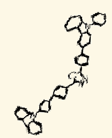 c1ccc(-n2c3ccccc3c3cc(-c4ccc(-c5nnc(-c6ccc(-c7ccc(-n8c9ccccc9c9ccccc98)cc7)cc6)o5)cc4)ccc32)cc1